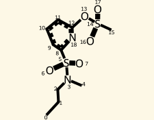 CCCN(C)S(=O)(=O)c1cccc(OS(C)(=O)=O)n1